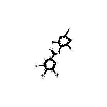 O=C(Oc1c(I)cc(I)cc1I)c1cc(O)c(O)c(O)c1